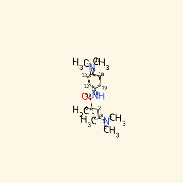 C=C(/C=C(\C)N(C)C)C(=O)Nc1ccc(N(C)C)cc1